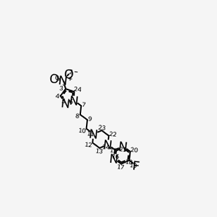 O=[N+]([O-])c1cnn(CCCCN2CCN(c3ncc(F)cn3)CC2)c1